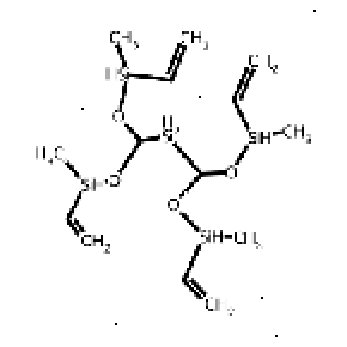 C=C[SiH](C)OC(O[SiH](C)C=C)[SiH2]C(O[SiH](C)C=C)O[SiH](C)C=C